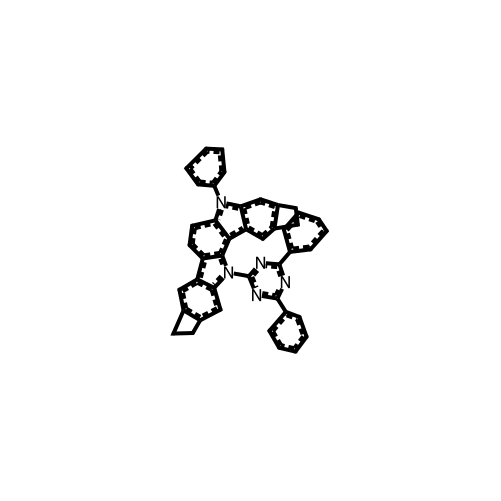 c1ccc(-c2nc(-c3ccccc3)nc(-n3c4cc5c(cc4c4ccc6c(c7cc8c(cc7n6-c6ccccc6)CC8)c43)CC5)n2)cc1